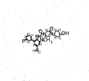 Cn1c(C(=O)N2CCN([C@H]3CC[C@H](O)CC3)C(=O)C2)nc2c(-c3cccc(F)c3)cc(C3CC3)cc21